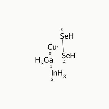 [Cu].[GaH3].[InH3].[SeH][SeH]